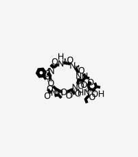 C=C1C(=O)N[C@@H](C)C(=O)N(C)[C@@H](C)C(=O)N[C@@H]([C@H](OC(=O)[C@@H](NC(=O)CC)[C@H](O)C(C)C)C(C)C)C(=O)N(C)[C@@H]([C@@H](C)OC)C(=O)O[C@H](C(C)C)[C@H](NC(C)=O)C(=O)O[C@H](Cc2ccccc2)C(=O)N1C